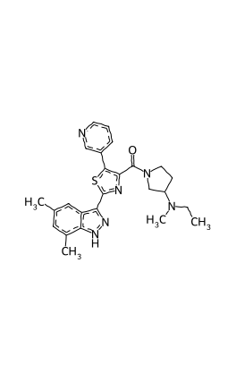 CCN(C)C1CCN(C(=O)c2nc(-c3n[nH]c4c(C)cc(C)cc34)sc2-c2cccnc2)C1